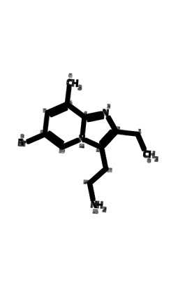 CCc1nc2c(C)cc(Br)cn2c1CCN